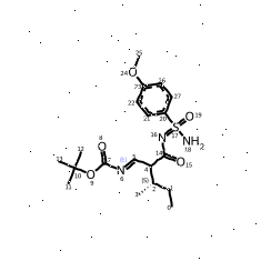 CC[C@H](C)C(/C=N/C(=O)OC(C)(C)C)C(=O)N=S(N)(=O)c1ccc(OC)cc1